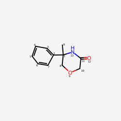 CC1(c2ccccc2)COCC(=O)N1